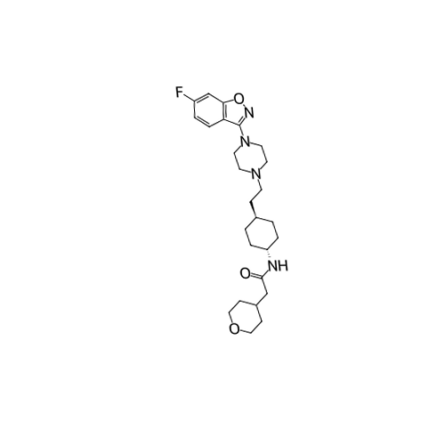 O=C(CC1CCOCC1)N[C@H]1CC[C@H](CCN2CCN(c3noc4cc(F)ccc34)CC2)CC1